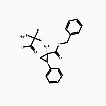 N[C@@]1(C(=O)OCc2ccccc2)C[C@@H]1c1ccccc1.O=C([O-])C(F)(F)F.[Na+]